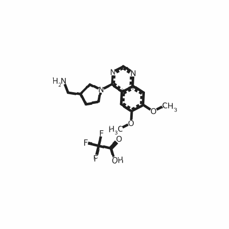 COc1cc2ncnc(N3CCC(CN)C3)c2cc1OC.O=C(O)C(F)(F)F